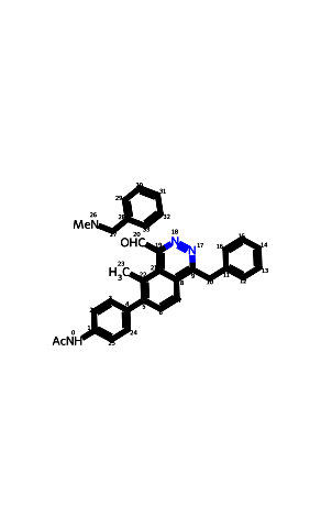 CC(=O)Nc1ccc(-c2ccc3c(Cc4ccccc4)nnc(C=O)c3c2C)cc1.CNCc1ccccc1